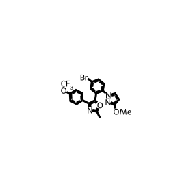 COc1ccn(-c2ccc(Br)cc2-c2oc(C)nc2-c2ccc(OC(F)(F)F)cc2)n1